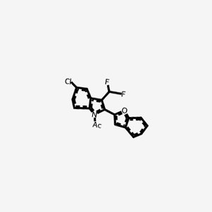 CC(=O)n1c(-c2cc3ccccc3o2)c(C(F)F)c2cc(Cl)ccc21